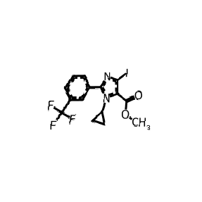 COC(=O)c1c(I)nc(-c2cccc(C(F)(F)F)c2)n1C1CC1